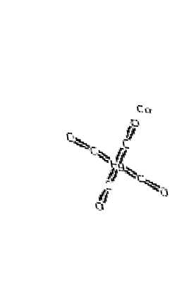 O=[C]=[Hg](=[C]=O)(=[C]=O)=[C]=O.[Co]